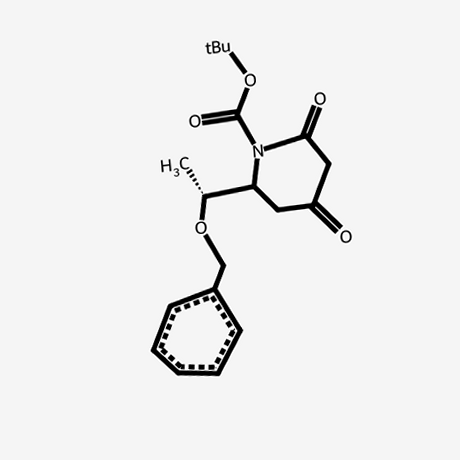 C[C@@H](OCc1ccccc1)C1CC(=O)CC(=O)N1C(=O)OC(C)(C)C